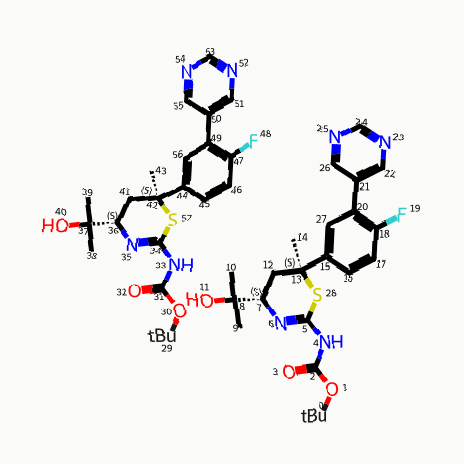 CC(C)(C)OC(=O)NC1=N[C@H](C(C)(C)O)C[C@@](C)(c2ccc(F)c(-c3cncnc3)c2)S1.CC(C)(C)OC(=O)NC1=N[C@H](C(C)(C)O)C[C@@](C)(c2ccc(F)c(-c3cncnc3)c2)S1